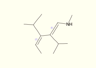 C/C=C(\C(=C\NC)C(C)C)C(C)C